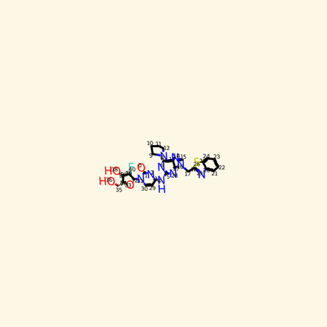 O=c1nc(Nc2nc(N3CCCC3)c3ncn(Cc4nc5ccccc5s4)c3n2)ccn1C1O[C@H](CO)[C@@H](O)[C@H]1F